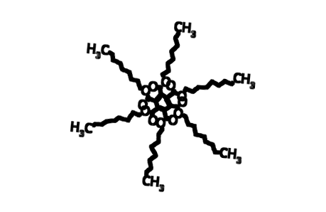 CCCCCCCCCOC(=O)c1c(C(=O)OCCCCCCCCC)c(C(=O)OCCCCCCCCC)c(C(=O)OCCCCCCCCC)c(C(=O)OCCCCCCCCC)c1C(=O)OCCCCCCCCC